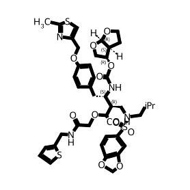 Cc1nc(COc2ccc(C[C@H](NC(=O)O[C@H]3CO[C@H]4OCC[C@H]43)[C@@H](CN(CC(C)C)S(=O)(=O)c3ccc4c(c3)OCO4)C(OCC(=O)NCc3cccs3)C(=O)O)cc2)cs1